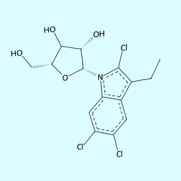 CCc1c(Cl)n([C@@H]2O[C@H](CO)C(O)[C@@H]2O)c2cc(Cl)c(Cl)cc12